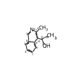 Cc1ncc2ccccc2c1C(C)O